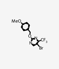 COc1ccc(COc2ncc(Br)c(C(F)(F)F)n2)cc1